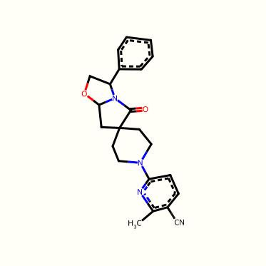 Cc1nc(N2CCC3(CC2)CC2OCC(c4ccccc4)N2C3=O)ccc1C#N